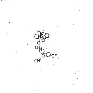 Cc1cccc(Cl)c1S(=O)(=O)N1CCCCC1COCC(=O)N1CCC(OCCN2CCCC2)(c2ccc(C(F)(F)F)cc2)CC1